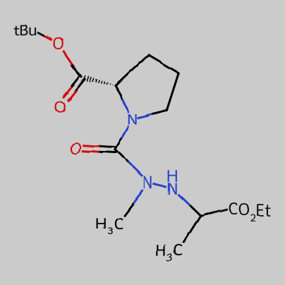 CCOC(=O)C(C)NN(C)C(=O)N1CCC[C@H]1C(=O)OC(C)(C)C